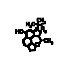 C[C@@H](Cl)[C@@H]1CN(C(C)(C)C)c2cc(O)c3ccc4c(c3c21)CCC4